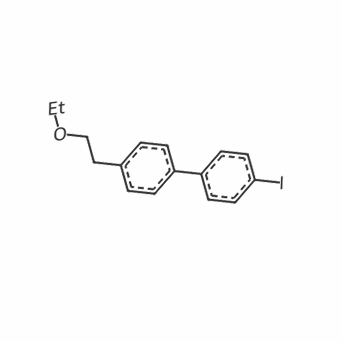 CCOCCc1ccc(-c2ccc(I)cc2)cc1